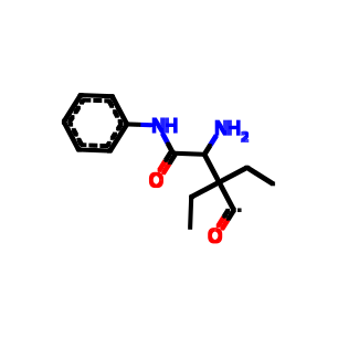 CCC([C]=O)(CC)C(N)C(=O)Nc1ccccc1